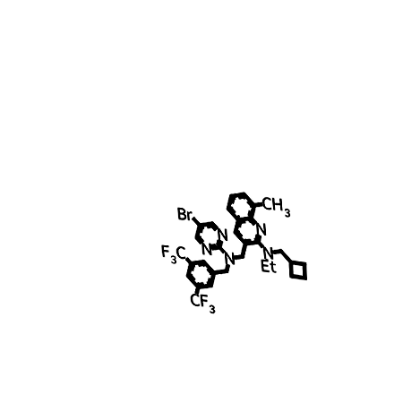 CCN(CC1CCC1)c1nc2c(C)cccc2cc1CN(Cc1cc(C(F)(F)F)cc(C(F)(F)F)c1)c1ncc(Br)cn1